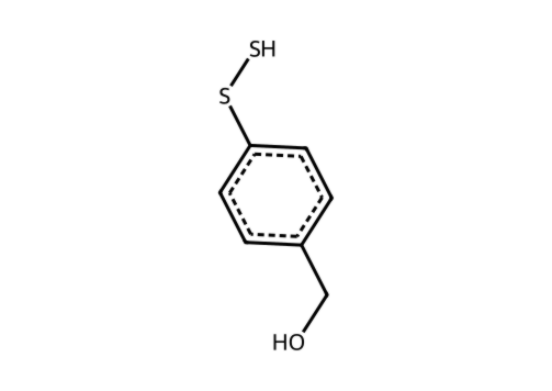 OCc1ccc(SS)cc1